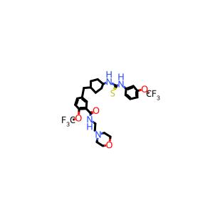 O=C(NCCN1CCOCC1)c1cc(CC2CCC(NC(=S)Nc3cccc(OC(F)(F)F)c3)CC2)ccc1OC(F)(F)F